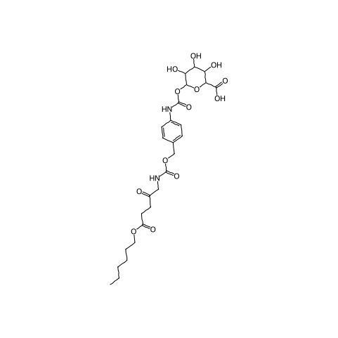 CCCCCCOC(=O)CCC(=O)CNC(=O)OCc1ccc(NC(=O)OC2OC(C(=O)O)C(O)C(O)C2O)cc1